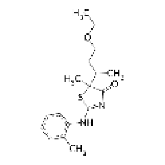 CCOCCC(C)C1(C)SC(Nc2ccccc2C)=NC1=O